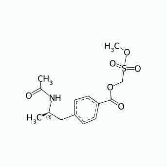 COS(=O)(=O)COC(=O)c1ccc(C[C@@H](C)NC(C)=O)cc1